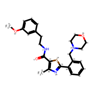 O=C(NCCc1cccc(OC(F)(F)F)c1)c1sc(-c2ccccc2CN2CCOCC2)nc1C(F)(F)F